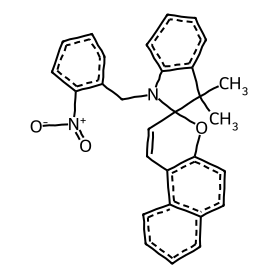 CC1(C)c2ccccc2N(Cc2ccccc2[N+](=O)[O-])C12C=Cc1c(ccc3ccccc13)O2